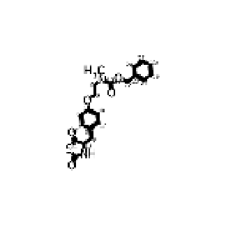 CN(CCOc1ccc(CC2NC(=O)SC2=O)cc1)C(=O)OCc1ccccc1